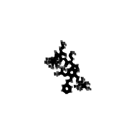 CCC[C@@H](C(=O)C[C@@H](O[Si](C)(C)C(C)(C)C)C1(C(=O)OCC)O[C@H]1CC)c1coc2c(CO[Si](C)(C)C(C)(C)C)c(OCc3ccccc3)c(CC(C)C)cc12